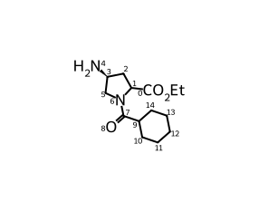 CCOC(=O)C1C[C@H](N)CN1C(=O)C1CCCCC1